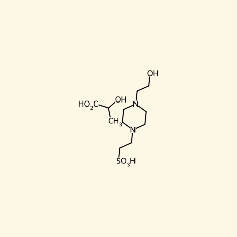 CC(O)C(=O)O.O=S(=O)(O)CCN1CCN(CCO)CC1